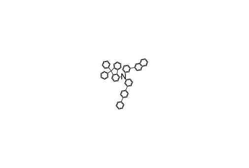 c1ccc(-c2ccc(-c3cccc(N(c4cccc(-c5ccc6ccccc6c5)c4)c4cccc5c4-c4ccccc4C5(c4ccccc4)c4ccccc4)c3)cc2)cc1